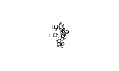 CS(=O)(=O)c1cccc(-c2ccn3c(=O)n(C/C(=C/F)CN)nc3c2)c1.Cl